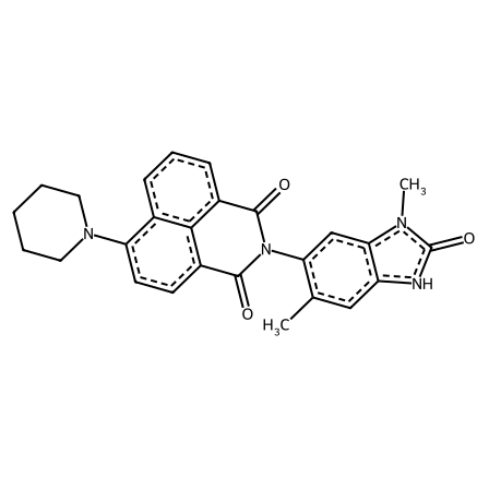 Cc1cc2[nH]c(=O)n(C)c2cc1N1C(=O)c2cccc3c(N4CCCCC4)ccc(c23)C1=O